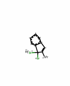 CCCC1=Cc2ccccc2C1(Br)Br.[Hf]